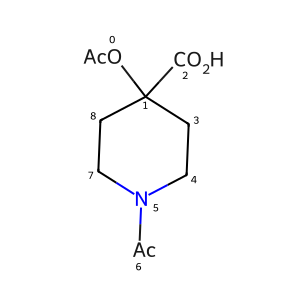 CC(=O)OC1(C(=O)O)CCN(C(C)=O)CC1